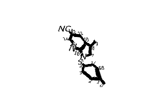 Cc1ccc(Sn2cc(C)c3cc(C#N)cnc32)cc1